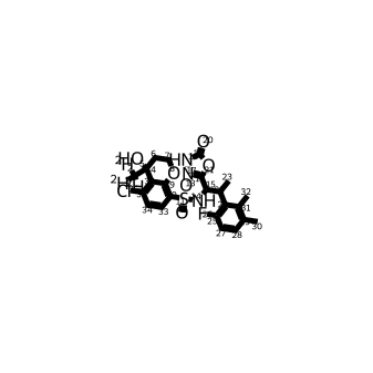 [2H]C([2H])([2H])C1(O)CCOc2c(S(=O)(=O)NC(c3n[nH]c(=O)o3)C(C)c3c(F)ccc(C)c3C)ccc(Cl)c21